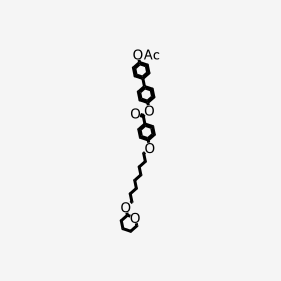 CC(=O)Oc1ccc(-c2ccc(OC(=O)c3ccc(OCCCCCCCCOC4CCCCO4)cc3)cc2)cc1